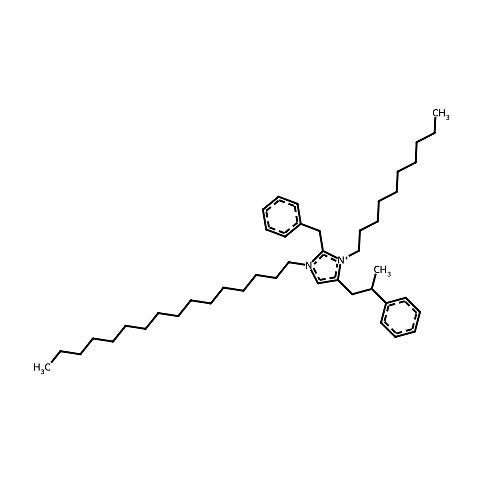 CCCCCCCCCCCCCCCCn1cc(CC(C)c2ccccc2)[n+](CCCCCCCCCC)c1Cc1ccccc1